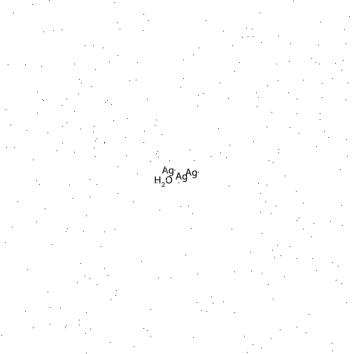 O.[Ag].[Ag].[Ag]